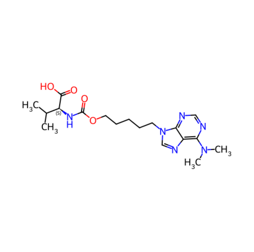 CC(C)[C@H](NC(=O)OCCCCCn1cnc2c(N(C)C)ncnc21)C(=O)O